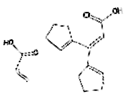 C=CC(=O)O.O=C(O)C=C(C1=CCCC1)C1=CCCC1